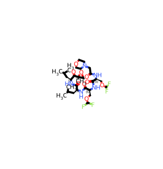 CC(C)C[C@H](NC(=O)[C@H](COC(F)F)NC(=O)[C@H](COC(F)F)NC(=O)CN1CCOCC1)C(=O)N[C@@H](CC(C)C)C(=O)[C@]1(C)CO1